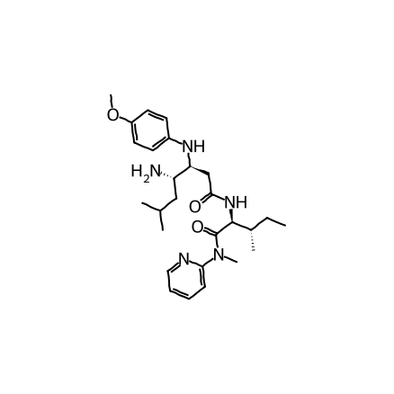 CC[C@H](C)[C@H](NC(=O)C[C@H](Nc1ccc(OC)cc1)[C@@H](N)CC(C)C)C(=O)N(C)c1ccccn1